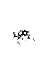 Cc1nc(-c2cc(OC(C)C)c(Cl)cc2F)c(Cl)n1C(F)F